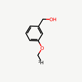 [2H]COc1cccc(CO)c1